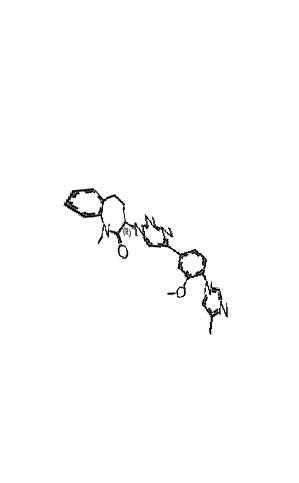 COc1cc(-c2cn([C@@H]3CCc4ccccc4N(C)C3=O)nn2)ccc1-n1cnc(C)c1